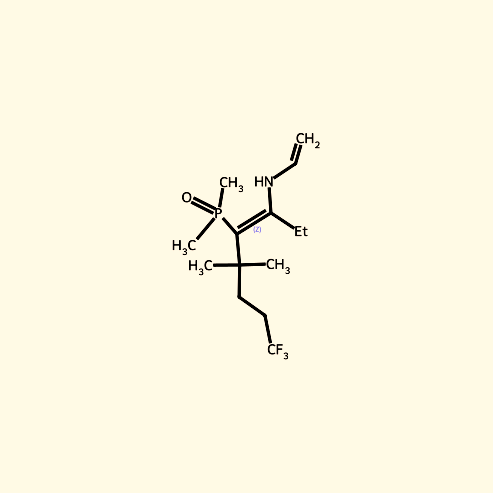 C=CN/C(CC)=C(/C(C)(C)CCC(F)(F)F)P(C)(C)=O